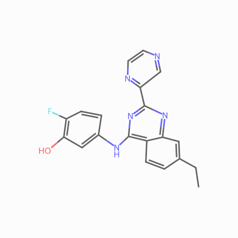 CCc1ccc2c(Nc3ccc(F)c(O)c3)nc(-c3cnccn3)nc2c1